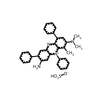 Cc1c(N(C)C)cc(-c2ccccc2)c2nc3cc(-c4ccccc4)c(N)cc3[n+](-c3ccccc3)c12.O=S(=O)([O-])O